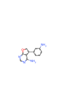 Nc1cccc(-c2coc3ncnc(N)c23)c1